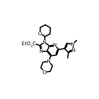 CCOC(=O)c1nc2c(N3CCOCC3)cc(-c3cn(C)nc3C)nc2n1C1CCCCO1